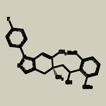 COc1cccc(OC)c1C(O)C[C@@]1(C)Cc2cnn(-c3ccc(F)cc3)c2C=C1C